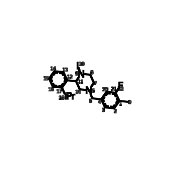 Cc1ccc(CN2CCN(I)C(c3ccccc3C(C)C)C2)cc1F